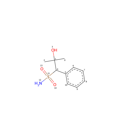 CC(C)(O)C(c1ccccc1)S(N)(=O)=O